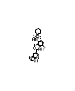 O=C(Nc1c(F)ccc(NS(=O)(=O)N2CCCCC2)c1F)c1cnc2[nH]cnc2c1